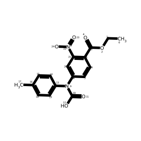 CCOC(=O)c1ccc(N(C(=O)O)c2ccc(C)cc2)cc1[N+](=O)[O-]